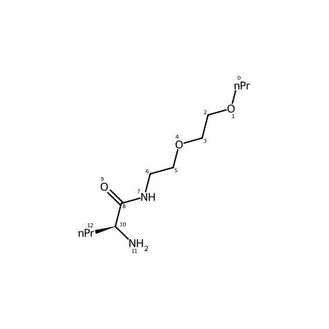 CCCOCCOCCNC(=O)[C@@H](N)CCC